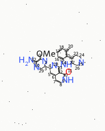 COc1nc(-c2cc3cc[nH]c(=O)c3c(Nc3cccc(C)c3C3CC[N]CC3)n2)cnc1N